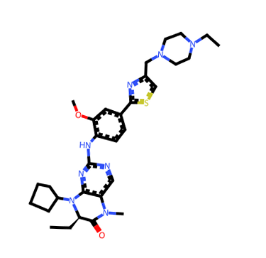 CC[C@@H]1C(=O)N(C)c2cnc(Nc3ccc(-c4nc(CN5CCN(CC)CC5)cs4)cc3OC)nc2N1C1CCCC1